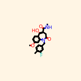 CNC(=O)C1=C(O)c2ccc(OC)cc2N(Cc2ccc(C)c(F)c2)C(=O)C1